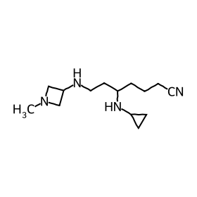 CN1CC(NCCC(CCCC#N)NC2CC2)C1